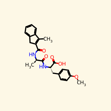 COc1ccc(C[C@H](NC(=O)[C@@H](C)NC(=O)C2=C(C)c3ccccc3C2)C(=O)O)cc1